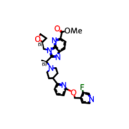 COC(=O)c1ccc2nc([C@H](C)N3CCC(c4cccc(OCc5ccncc5F)n4)CC3)n(C[C@@H]3CCO3)c2n1